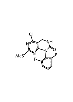 CSc1nc(Cl)c2c(n1)N(c1c(F)cccc1F)C(=O)NC2